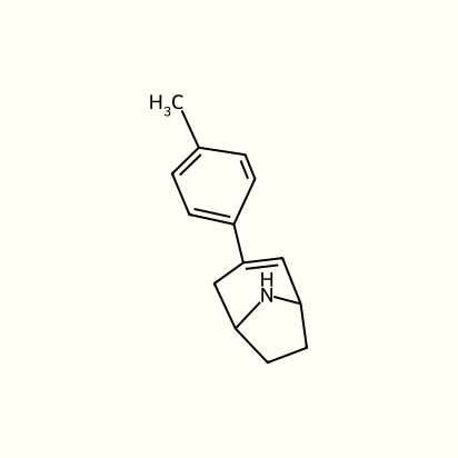 Cc1ccc(C2=CC3CCC(C2)N3)cc1